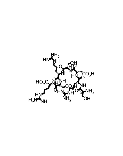 N=C(N)NCCC[C@H](NC(=O)[C@H](CC(=O)O)NC(=O)[C@H](CCCNC(=N)N)NC(=O)[C@H](CO)NC(=O)[C@H](CC(=O)O)NC(=O)[C@H](CCCNC(=N)N)NC(=O)[C@@H](N)CO)C(=O)O